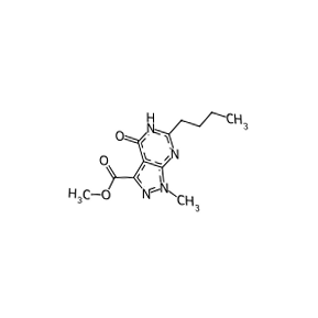 CCCCc1nc2c(c(C(=O)OC)nn2C)c(=O)[nH]1